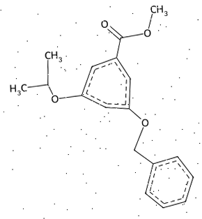 COC(=O)c1cc(OCc2ccccc2)cc(OC(C)C)c1